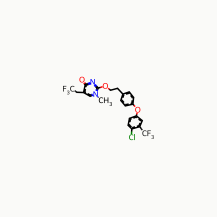 Cn1cc(CC(F)(F)F)c(=O)nc1OCCc1ccc(Oc2ccc(Cl)c(C(F)(F)F)c2)cc1